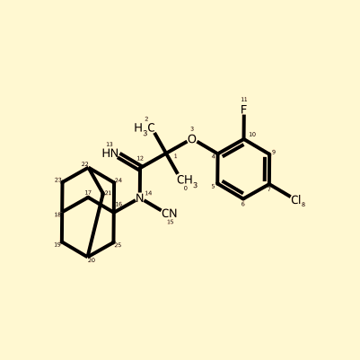 CC(C)(Oc1ccc(Cl)cc1F)C(=N)N(C#N)C12CC3CC(CC(C3)C1)C2